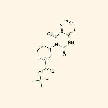 CC(C)(C)OC(=O)N1CCCC(n2c(=O)[nH]c3cccnc3c2=O)C1